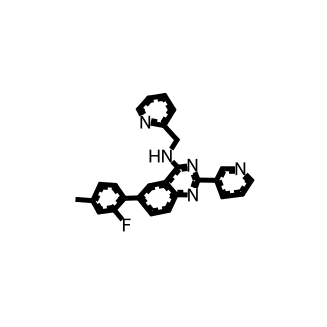 Cc1ccc(-c2ccc3nc(-c4cccnc4)nc(NCc4ccccn4)c3c2)c(F)c1